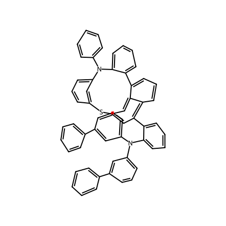 c1ccc(-c2cccc(N(c3cccc(-c4ccccc4)c3)c3ccccc3-c3cc4cc5c3cccc5c3ccccc3n(-c3ccccc3)c3cccc(c3)s4)c2)cc1